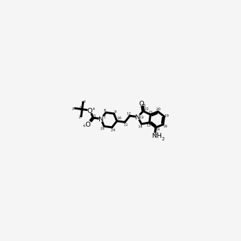 CC(C)(C)OC(=O)N1CCC(CCN2Cc3c(N)cccc3C2=O)CC1